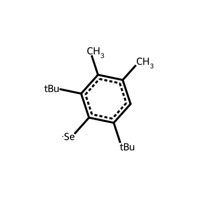 Cc1cc(C(C)(C)C)c([Se])c(C(C)(C)C)c1C